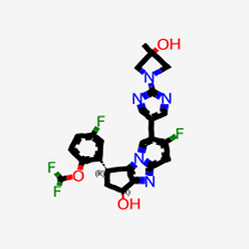 CC1(O)CN(c2ncc(-c3cn4c5c(nc4cc3F)[C@H](O)C[C@@H]5c3cc(F)ccc3OC(F)F)cn2)C1